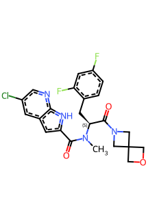 CN(C(=O)c1cc2cc(Cl)cnc2[nH]1)[C@@H](Cc1ccc(F)cc1F)C(=O)N1CC2(COC2)C1